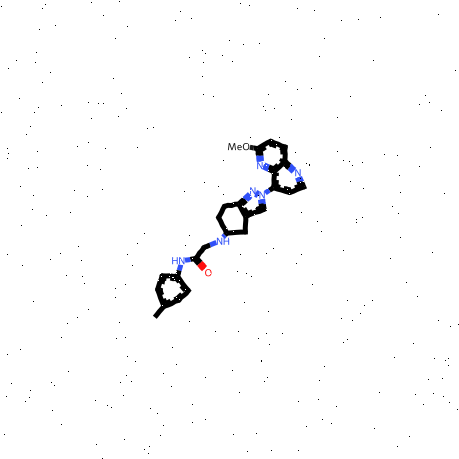 COc1ccc2nccc(-n3cc4c(n3)CCC(NCC(=O)Nc3ccc(C)cc3)C4)c2n1